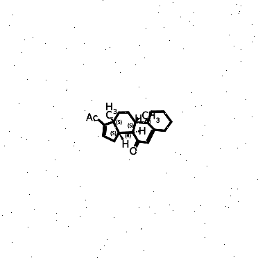 CC(=O)C1=CC[C@H]2[C@@H]3C(=O)C=C4CCCC[C@]4(C)[C@H]3CC[C@]12C